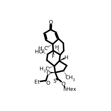 CCCCCCOC(=S)[C@@]1(OC(=O)CC)[C@@H](C)C[C@H]2[C@@H]3CCC4=CC(=O)C=C[C@]4(C)[C@@]3(F)[C@@H](O)C[C@@]21C